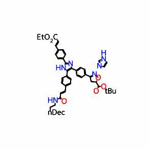 CCCCCCCCCCCCNC(=O)C=Cc1ccc(-c2[nH]c(-c3ccc(C=CC(=O)OCC)cc3)nc2-c2ccc(C3=NOC(C(=O)OC(C)(C)C)C3)cc2)cc1.c1c[nH]cn1